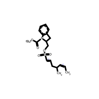 C/C=C\C(C)C/C=C/S(=O)(=O)OCC1Cc2ccccc2N1C(=O)OC(C)(C)C